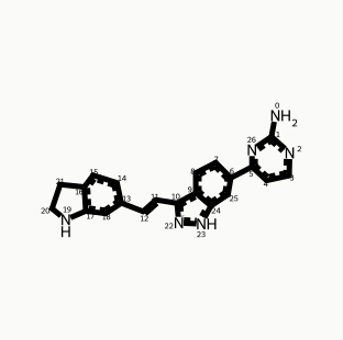 Nc1nccc(-c2ccc3c(C=Cc4ccc5c(c4)NCC5)n[nH]c3c2)n1